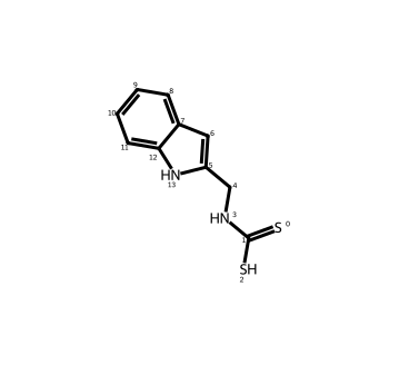 S=C(S)NCc1cc2ccccc2[nH]1